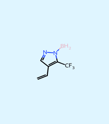 Bn1ncc(C=C)c1C(F)(F)F